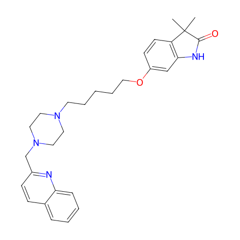 CC1(C)C(=O)Nc2cc(OCCCCCN3CCN(Cc4ccc5ccccc5n4)CC3)ccc21